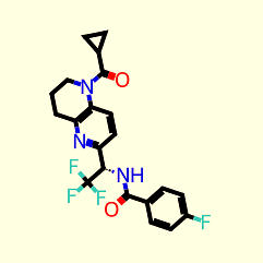 O=C(N[C@@H](c1ccc2c(n1)CCCN2C(=O)C1CC1)C(F)(F)F)c1ccc(F)cc1